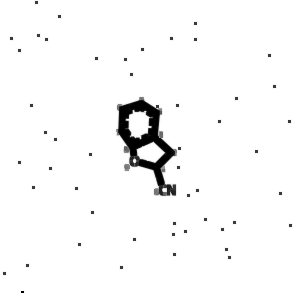 N#CC1Cc2cc[c]cc2O1